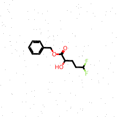 O=C(OCc1ccccc1)C(O)CCC(F)F